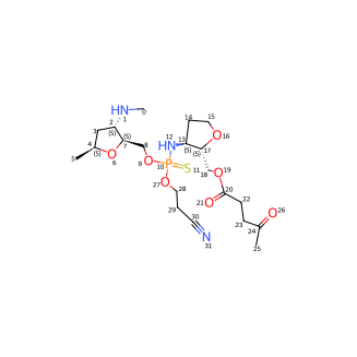 CN[C@H]1C[C@H](C)O[C@@H]1COP(=S)(N[C@H]1CCO[C@@H]1COC(=O)CCC(C)=O)OCCC#N